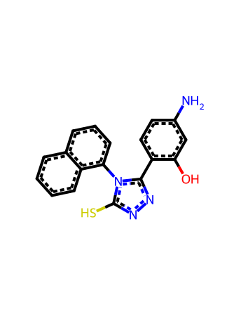 Nc1ccc(-c2nnc(S)n2-c2cccc3ccccc23)c(O)c1